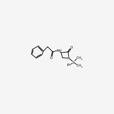 CC(C)[Si](C)(C)N1CC(NC(=O)Cc2ccccc2)C1=O